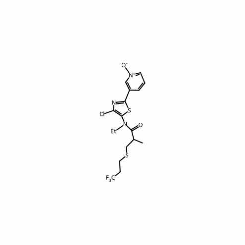 CCN(C(=O)C(C)CSCCC(F)(F)F)c1sc(-c2ccc[n+]([O-])c2)nc1Cl